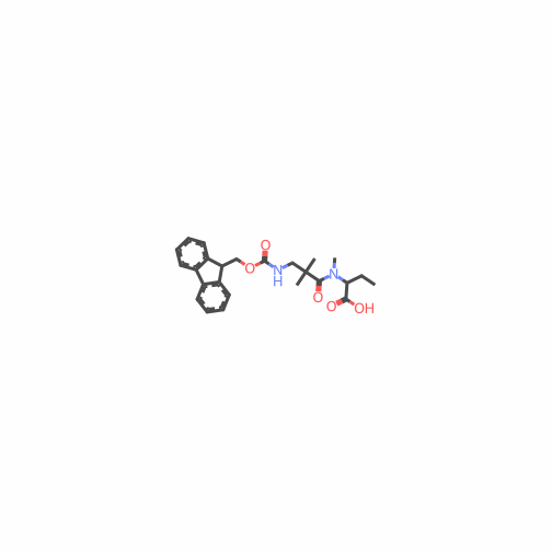 CCC(C(=O)O)N(C)C(=O)C(C)(C)CNC(=O)OCC1c2ccccc2-c2ccccc21